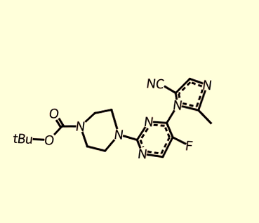 Cc1ncc(C#N)n1-c1nc(N2CCN(C(=O)OC(C)(C)C)CC2)ncc1F